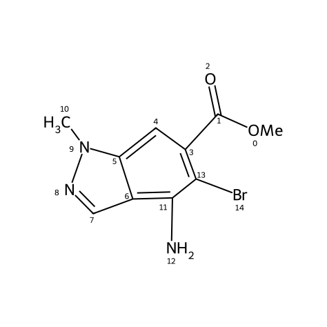 COC(=O)c1cc2c(cnn2C)c(N)c1Br